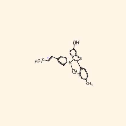 Cc1ccc(-c2sc3cc(O)ccc3c2N(C)c2ccc(/C=C/C(=O)O)cc2)cc1